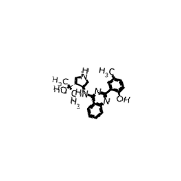 Cc1ccc(O)c(-c2nc(NC3CNC[C@H]3C(C)(C)O)c3ccccc3n2)c1